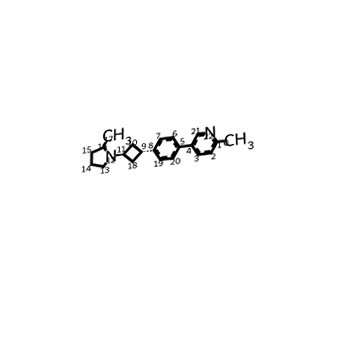 Cc1ccc(-c2ccc([C@H]3C[C@H](N4CCCC4C)C3)cc2)cn1